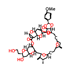 C=C1CC2CC[C@@]34OC5[C@H]6O[C@H](CC[C@@H]6O[C@H]6C(O3)[C@]3(O[C@@H](c7ccc(OC)cc7)O[C@@H]43)O[C@@H]56)CC(=O)O[C@@H]3[C@@H](C)[C@@H]4O[C@H](CCO)[C@H](O)C[C@@H]4O[C@H]3CC3O[C@@H](CCC1O2)C[C@@H](C)C3=C